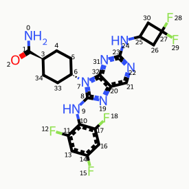 NC(=O)[C@H]1CC[C@H](n2c(Nc3c(F)cc(F)cc3F)nc3cnc(NC4CC(F)(F)C4)nc32)CC1